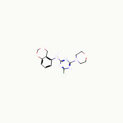 Clc1nc(Nc2cccc3c2COCO3)nc(N2CCOCC2)n1